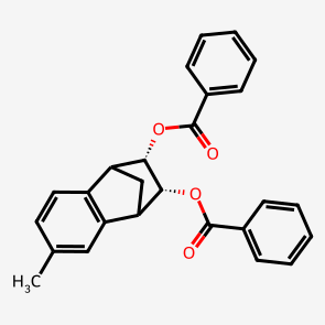 Cc1ccc2c(c1)C1CC2[C@H](OC(=O)c2ccccc2)[C@@H]1OC(=O)c1ccccc1